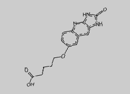 O=C(O)CCCCOc1ccc2nc3[nH]c(=O)[nH]c3cc2c1